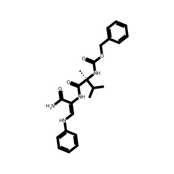 CC(C)[C@](C)(NC(=O)OCc1ccccc1)C(=O)NC(=CNc1ccccc1)C(N)=O